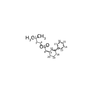 CC(C)CCOC(=O)C=C1C=C(c2ccccc2)CCC1